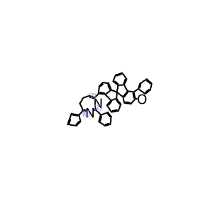 C1=C(c2cccc3c2-c2ccccc2C32c3ccccc3-c3c2ccc2oc4ccccc4c32)/N=C(c2ccccc2)\N=C(\c2ccccc2)CC\1